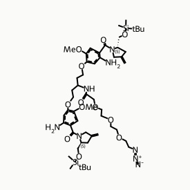 C=C1C[C@@H](CO[Si](C)(C)C(C)(C)C)N(C(=O)c2cc(OC)c(OCCC(CCOc3cc(N)c(C(=O)N4CC(=C)C[C@H]4CO[Si](C)(C)C(C)(C)C)cc3OC)NC(=O)COCCOCCOCCN=[N+]=[N-])cc2N)C1